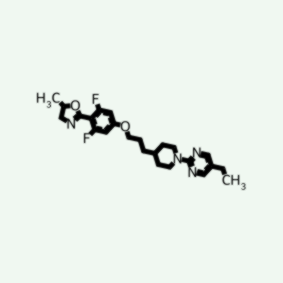 CCc1cnc(N2CCC(CCCOc3cc(F)c(C4=NCC(C)O4)c(F)c3)CC2)nc1